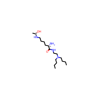 CCCCN(CCCC)CCNC(=O)[C@@H](N)CCCCNB(C)O